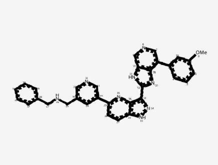 COc1cccc(-c2cncc3[nH]c(-c4n[nH]c5ccc(-c6cncc(CNCc7ccccc7)c6)nc45)nc23)c1